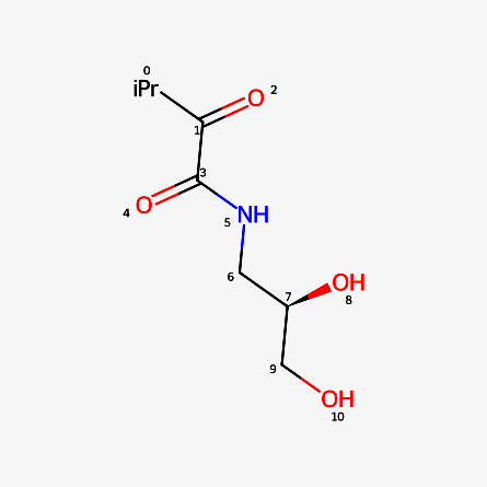 CC(C)C(=O)C(=O)NC[C@@H](O)CO